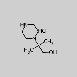 CC(C)(CO)N1CCNCC1.Cl